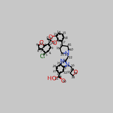 CC1(c2ccc(Cl)c3ccoc23)Oc2cccc(C3CCN(Cc4nc5ccc(C(=O)O)cc5n4C[C@@H]4CCO4)CC3)c2O1